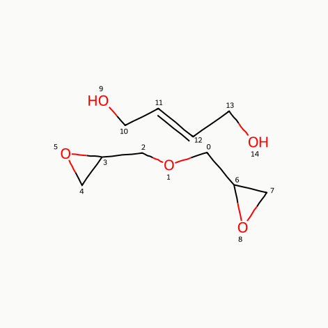 C(OCC1CO1)C1CO1.OC/C=C/CO